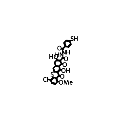 COc1ccc(Cl)c2c1C(=O)C1=C(O)C3C(=O)C(C(=O)NNC(=O)c4ccc(S)cc4)=C(O)CC3CC1S2